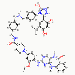 CCOc1cc(N2CCC(C(=O)NCc3ccc(CN(C)Cc4ccc(-n5c(O)nnc5-c5cc(C(C)C)c(O)cc5O)cc4)cc3)CC2)ccc1Nc1ncc2c(n1)N(C)c1ccccc1C(=O)N2C